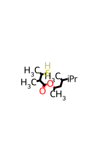 CC(CC(C)C(C)C)OC(=O)C(C)C(C)S